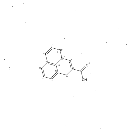 O=C(O)C1=CN2NC=Cc3cccc(c32)C1